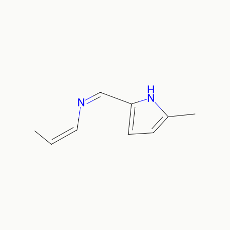 C/C=C\N=C/c1ccc(C)[nH]1